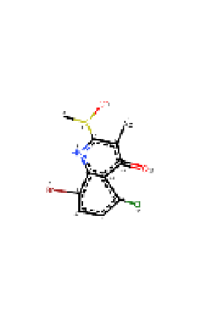 CC(=O)c1c([S+](C)[O-])[nH]c2c(Br)ccc(Cl)c2c1=O